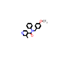 Cc1cnccc1C(=O)N(Cc1ccc(OC(F)(F)F)cc1)c1ccccc1